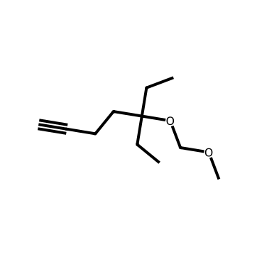 C#CCCC(CC)(CC)OCOC